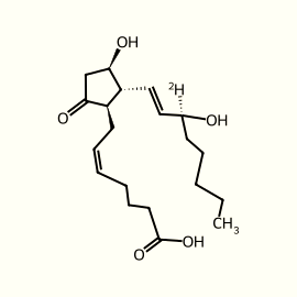 [2H][C@@](O)(/C=C/[C@H]1[C@H](O)CC(=O)[C@@H]1C/C=C\CCCC(=O)O)CCCCC